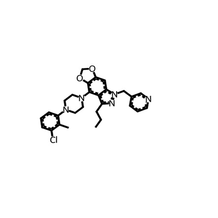 CCCc1nn(Cc2cccnc2)c2cc3c(c(N4CCN(c5cccc(Cl)c5C)CC4)c12)OCO3